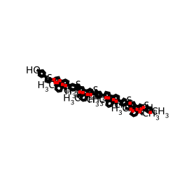 CCC(CC)C12CCCC(C(CC)CC)(CCC1)C21c2cc3c(cc2-c2cc4sc5cc(-c6ccc7c(c6)C6(c8cc(-c9ccc%10c(c9)sc9cc%11c(cc9%10)C9(c%10cc%12c(cc%10-%11)sc%10cc(-c%11ccc%13c(c%11)C%11(c%14cc(-c%15ccc(-c%16ccc(O)cc%16)s%15)ccc%14-%13)C%13(CC)CCCC%11(CC)CCC%13)ccc%10%12)C(C)(CC)CCCC9(CC)CC)ccc8-7)C7(CC)CCCC6(CC)CCC7)ccc5c4cc21)sc1cc(C)ccc13